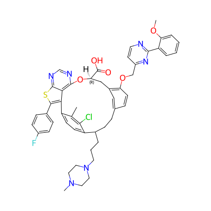 COc1ccccc1-c1nccc(COc2ccc3cc2C[C@H](C(=O)O)Oc2ncnc4sc(-c5ccc(F)cc5)c(c24)-c2ccc(c(Cl)c2C)C(CCCN2CCN(C)CC2)CC3)n1